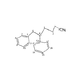 N#CCCC[C](Cc1ccccc1)c1ccccc1